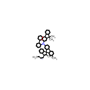 C=C/C=C\C1=C(C)C2(c3ccccc31)c1cc(C)ccc1-c1ccc(N(c3ccc4c(c3)C(C)(C)c3ccccc3-4)c3ccccc3-c3ccccc3)cc12